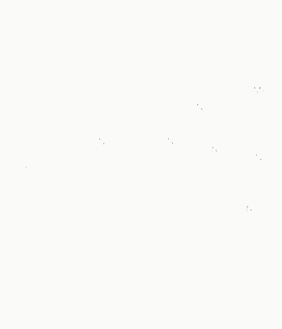 COc1cnc(-c2ccccn2)nc1Nc1ccc(N2CCC(C)CC2)cn1